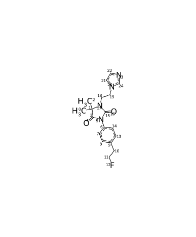 CC1(C)C(=O)N(c2ccc(CCF)cc2)C(=O)N1CCn1ccnc1